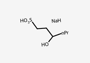 CCCC(O)CCS(=O)(=O)O.[NaH]